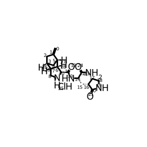 C=C1C[C@@H]2C[C@H]1[C@H]1[C@@H]2CN[C@@H]1C(=O)N[C@@H](C[C@@H]1CCNC1=O)C(N)=O.Cl